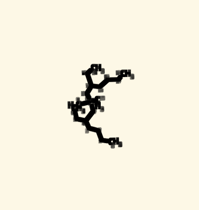 CCCCC(CC)C[PH](C)(C)CC(CC)CCCC